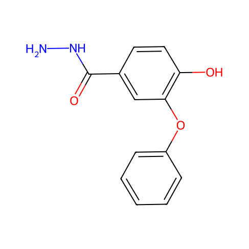 NNC(=O)c1ccc(O)c(Oc2ccccc2)c1